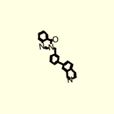 O=c1c2ccccc2ncn1Cc1cccc(-c2ccc3ccncc3c2)c1